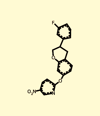 O=[N+]([O-])c1ccc(Oc2ccc3c(c2)OCC(c2cccc(F)c2)C3)nc1